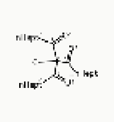 CCCCCCCC(=O)C(Cl)(C(=O)CCCCCCC)C(=O)CCCCCCC